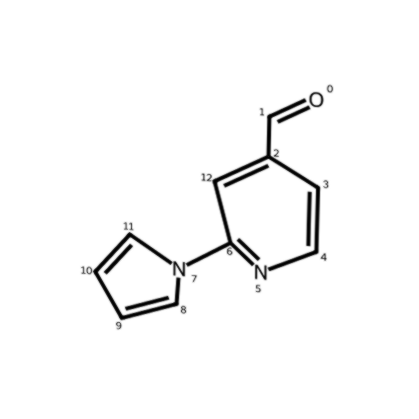 O=Cc1ccnc(-n2cccc2)c1